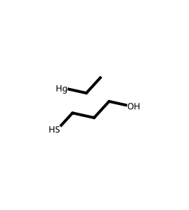 C[CH2][Hg].OCCCS